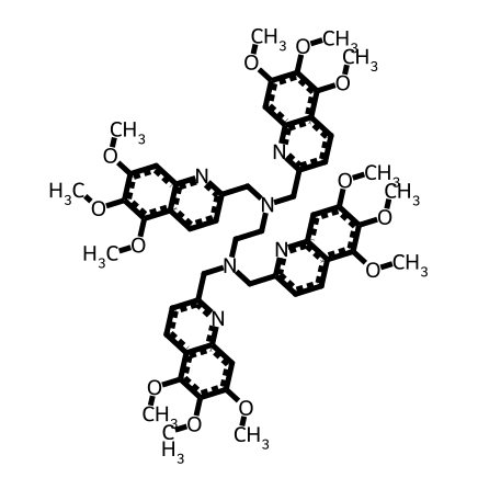 COc1cc2nc(CN(CCN(Cc3ccc4c(OC)c(OC)c(OC)cc4n3)Cc3ccc4c(OC)c(OC)c(OC)cc4n3)Cc3ccc4c(OC)c(OC)c(OC)cc4n3)ccc2c(OC)c1OC